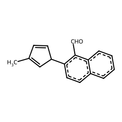 CC1=CC(c2ccc3ccccc3c2C=O)C=C1